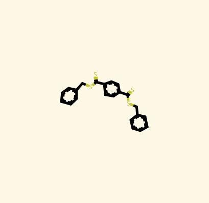 S=C(SCc1ccccc1)c1ccc(C(=S)SCc2ccccc2)cc1